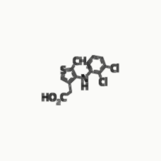 Cc1scc(CC(=O)O)c1Nc1cccc(Cl)c1Cl